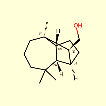 CC1(C)CCC[C@]2(C)[C@@H]3CC[C@@H]([C@@H]31)[C@@H]2CO